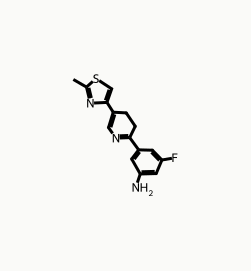 Cc1nc(C2=CN=C(c3cc(N)cc(F)c3)CC2)cs1